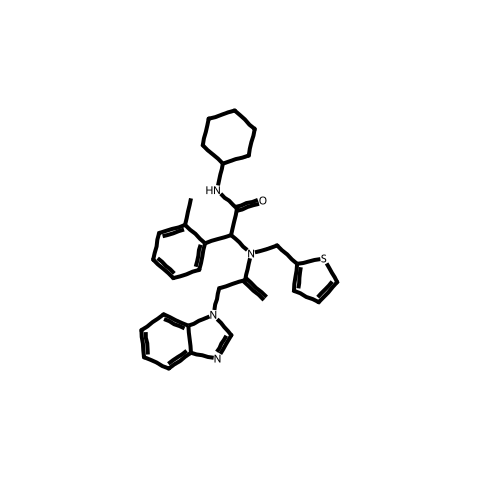 C=C(Cn1cnc2ccccc21)N(Cc1cccs1)C(C(=O)NC1CCCCC1)c1ccccc1C